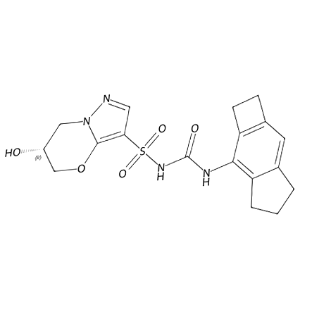 O=C(Nc1c2c(cc3c1CC3)CCC2)NS(=O)(=O)c1cnn2c1OC[C@H](O)C2